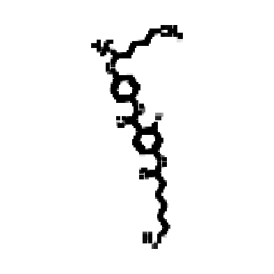 CCCCCCC(=O)Oc1ccc(C(=O)Oc2ccc(OC(C)CCCCC)cc2)c(F)c1